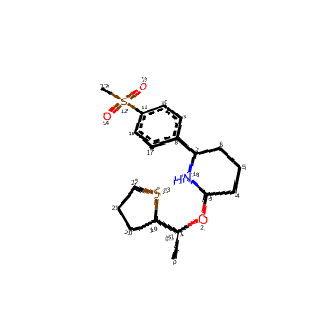 C[C@H](OC1CCCC(c2ccc(S(C)(=O)=O)cc2)N1)C1CCCS1